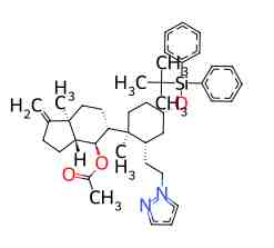 C=C1CC[C@H]2[C@H](OC(C)=O)[C@@H]([C@@]3(C)CC[C@H](O[Si](c4ccccc4)(c4ccccc4)C(C)(C)C)C[C@@H]3CCn3cccn3)CC[C@]12C